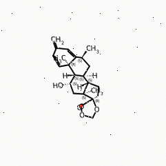 C=C1C=C[C@@]2(C)C(=C1)[C@@H](C)C[C@@H]1[C@@H]2[C@@H](O)C[C@@]2(C)[C@H]1CC[C@@]21OCOC12COCO2